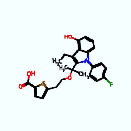 CCc1c(C(C)(C)OCCc2ccc(C(=O)O)s2)n(-c2ccc(F)cc2)c2cccc(O)c12